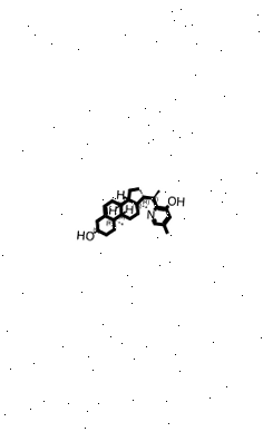 Cc1cnc([C@H](C)[C@H]2CC[C@H]3[C@@H]4CC=C5C[C@@H](O)CC[C@]5(C)[C@H]4CC[C@]23C)c(O)c1